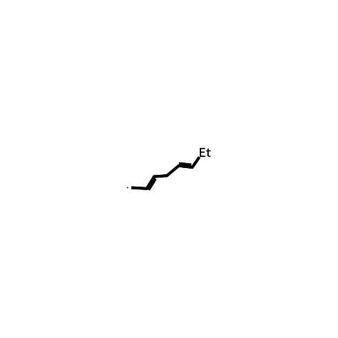 [CH]C/C=C/C/C=C/[CH2]